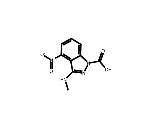 CNc1nn(C(=O)O)c2cccc([N+](=O)[O-])c12